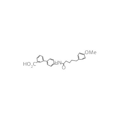 COc1ccc(CCCCC(=O)NCc2ccc(-c3cccc(C(=O)O)c3)cc2)cc1